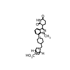 Cn1nc(C2CCC(=O)NC2=O)c2cccc(N3CCC(CN4C[C@H]5C[C@@H]4CN5C(=O)O)CC3)c21